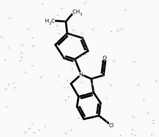 CC(C)c1ccc(N2Cc3ccc(Cl)cc3C2C=O)cc1